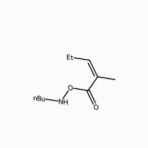 CCC=C(C)C(=O)ONCCCC